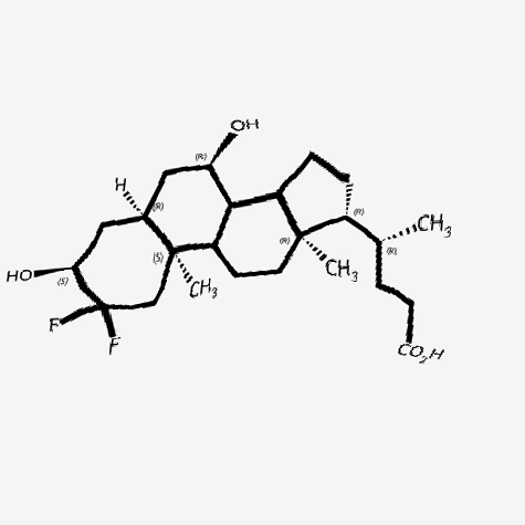 C[C@H](CCC(=O)O)[C@H]1CCC2C3C(CC[C@@]21C)[C@@]1(C)CC(F)(F)[C@@H](O)C[C@H]1C[C@H]3O